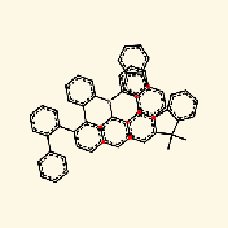 CC1(C)c2ccccc2-c2c(-c3ccccc3N(c3ccccc3-c3ccccc3-c3ccccc3-c3ccccc3)c3ccccc3-c3cccc4c3oc3ccccc34)cccc21